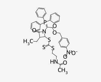 CCC1C(=O)N(C(C(=O)OCc2ccc([N+](=O)[O-])cc2)=P(c2ccccc2)(c2ccccc2)c2ccccc2)C1SC(=S)SCCNC(C)=O